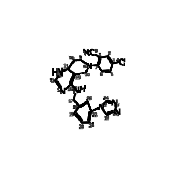 N#Cc1cc(Cl)ccc1N1CCC2NC=NC(NCc3cccc(-n4cnnc4)c3)=C2C1